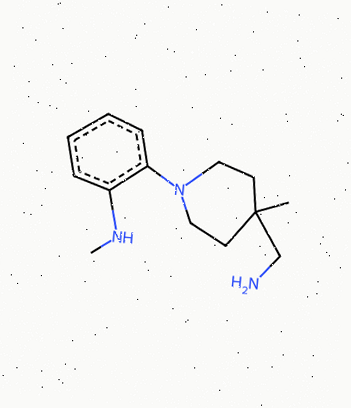 CNc1ccccc1N1CCC(C)(CN)CC1